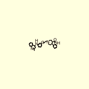 Cc1cc(Nc2cccc(OCCN3CCC(C(=O)O)C(c4ccccc4)CC3)c2)c2ccccc2n1